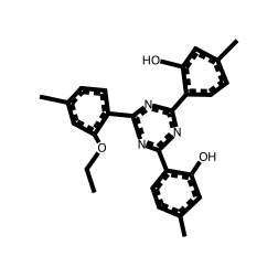 CCOc1cc(C)ccc1-c1nc(-c2ccc(C)cc2O)nc(-c2ccc(C)cc2O)n1